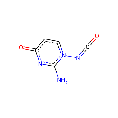 Nc1nc(=O)ccn1N=C=O